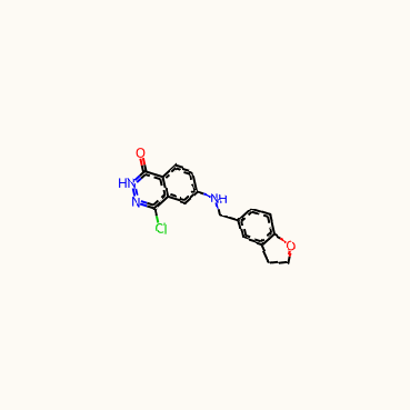 O=c1[nH]nc(Cl)c2cc(NCc3ccc4c(c3)CCO4)ccc12